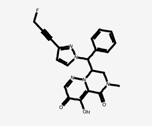 CN1CC(C(c2ccccc2)n2ccc(C#CCF)n2)n2ncc(=O)c(O)c2C1=O